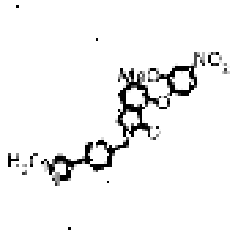 COc1cc([N+](=O)[O-])ccc1Oc1cccc2c1C(=O)N(Cc1ccc(-c3cnn(C)c3)cc1)C2